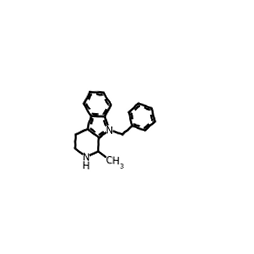 CC1NCCc2c1n(Cc1ccccc1)c1ccccc21